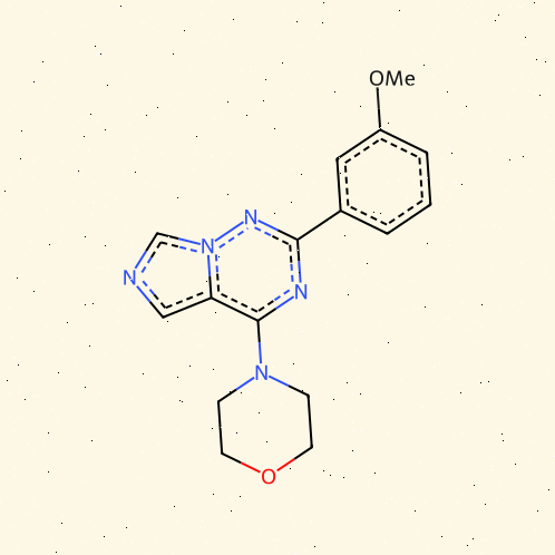 COc1cccc(-c2nc(N3CCOCC3)c3cncn3n2)c1